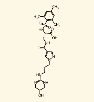 Cc1cc(C)c(S(=O)(=O)N[C@@H](CNC(=O)c2cnn(CCCNC3=NCC(O)CN3)c2)C(=O)O)c(C)c1